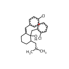 CN(C)CC1CCC/C(=C/c2ccc(Cl)cc2)C1(O)Cc1ccccc1Cl